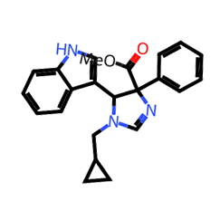 COC(=O)C1(c2ccccc2)N=CN(CC2CC2)C1c1c[nH]c2ccccc12